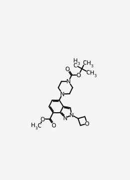 COC(=O)c1ccc(N2CCN(C(=O)OC(C)(C)C)CC2)c2cn(C3COC3)nc12